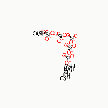 O=[Si]([O-])[O-].O=[Si]([O-])[O-].O=[Si]([O-])[O-].O=[Si]([O-])[O-].O=[Si]([O-])[O-].[Al+3].[Al+3].[Ca+2].[Ca+2].[KH].[KH].[NaH].[NaH]